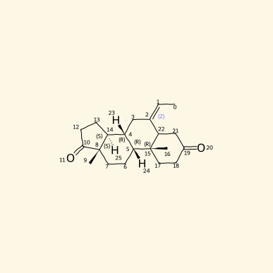 C/C=C1/C[C@@H]2[C@@H](CC[C@]3(C)C(=O)CC[C@@H]23)[C@@]2(C)CCC(=O)CC12